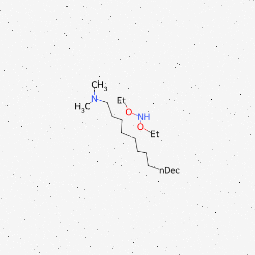 CCCCCCCCCCCCCCCCCCN(C)C.CCONOCC